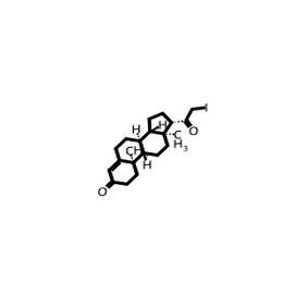 C[C@]12CC[C@H]3[C@@H](CCC4=CC(=O)CC[C@@]43C)[C@@H]1CC[C@@H]2C(=O)CI